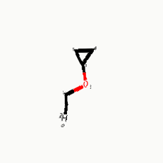 [2H]COC1CC1